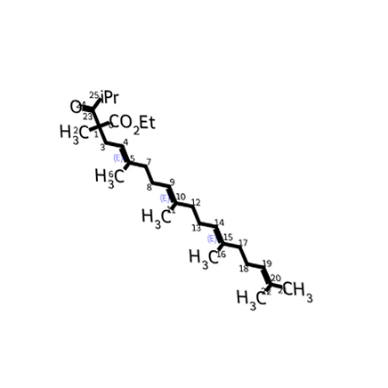 CCOC(=O)C(C)(C/C=C(\C)CC/C=C(\C)CC/C=C(\C)CCC=C(C)C)C(=O)C(C)C